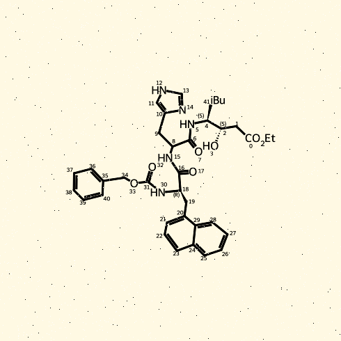 CCOC(=O)C[C@H](O)[C@@H](NC(=O)C(Cc1c[nH]cn1)NC(=O)[C@@H](Cc1cccc2ccccc12)NC(=O)OCc1ccccc1)C(C)CC